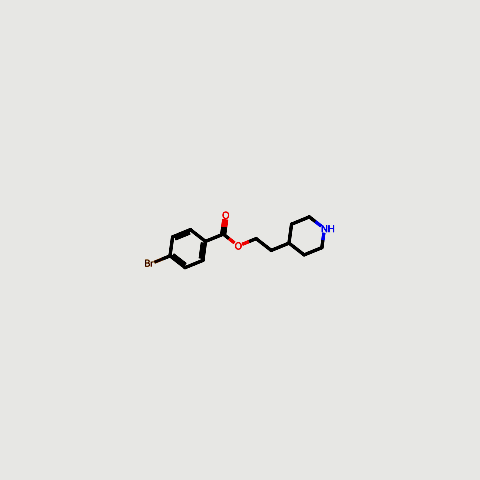 O=C(OCCC1CCNCC1)c1ccc(Br)cc1